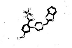 CCOc1ccc(C(=O)NS(=O)(=O)CC)c(N2CCN(Cc3nc4ccccc4s3)CC2)c1